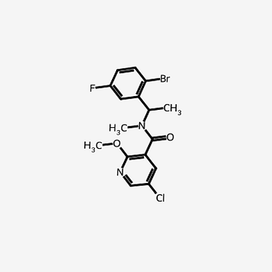 COc1ncc(Cl)cc1C(=O)N(C)C(C)c1cc(F)ccc1Br